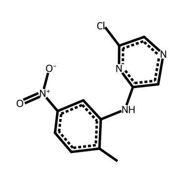 Cc1ccc([N+](=O)[O-])cc1Nc1cncc(Cl)n1